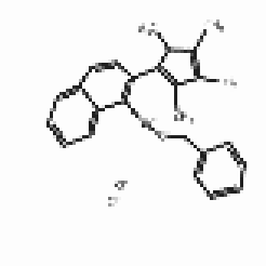 CC1=C(C)C(C)C(c2ccc3ccccc3[c]2[Ti+2][O]Cc2ccccc2)=C1C.[Cl-].[Cl-]